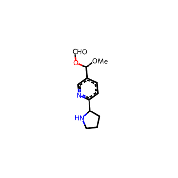 COC(OC=O)c1ccc(C2CCCN2)nc1